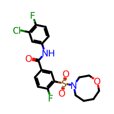 O=C(Nc1ccc(F)c(Cl)c1)c1ccc(F)c(S(=O)(=O)N2CCCCOCC2)c1